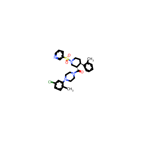 Cc1ccccc1[C@@H]1CCN(S(=O)(=O)c2cccnc2)C[C@H]1C(=O)N1CCN(c2cc(Cl)ccc2C)CC1